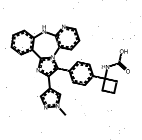 Cn1cc(-c2nc3n(c2-c2ccc(C4(NC(=O)O)CCC4)cc2)-c2cccnc2Nc2ccccc2-3)cn1